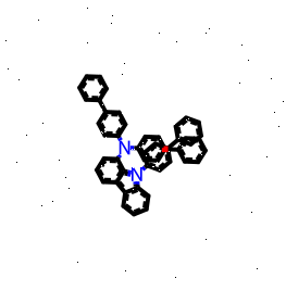 c1ccc(-c2ccc(N(c3ccc(-c4ccccc4)cc3)c3cccc4c5ccccc5n(-c5ccc(-c6ccccc6)cc5)c34)cc2)cc1